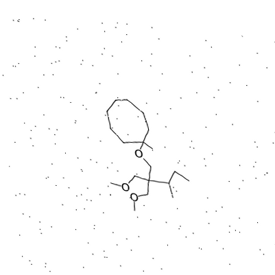 CCC(C)C(COC)(COC)COC1(C)CCCCCCC1